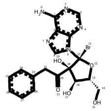 Nc1ncnc2c1ncn2[C@]1(Br)O[C@H](CO)[C@@H](O)[C@]1(O)C(=O)Cc1ccccc1